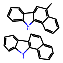 Cc1cc2c3ccccc3[nH]c2c2ccccc12.c1ccc2c(c1)ccc1c3ccccc3[nH]c21